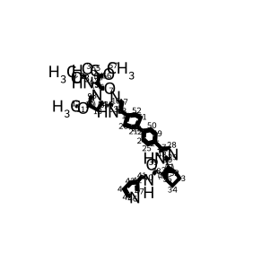 COC(=O)N[C@H](C(=O)N1C[C@@H](OC)C[C@H]1c1ncc(-c2ccc(-c3ccc(-c4cnc([C@H]5C6CCC(C6)[C@@H]5C(=O)NCc5cccnc5)[nH]4)cc3)cc2)[nH]1)[C@@H](C)OC